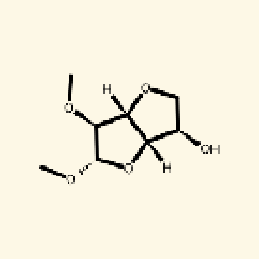 CO[C@H]1O[C@@H]2[C@@H](OC[C@H]2O)[C@@H]1OC